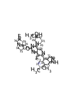 CC/C=C\c1c(C)cc2[nH]ncc2c1-c1ncc2c(N3CCC[C@@](C)(O)C3)nc(OC[C@@]34CCCN3C[C@H](F)C4)nc2c1F